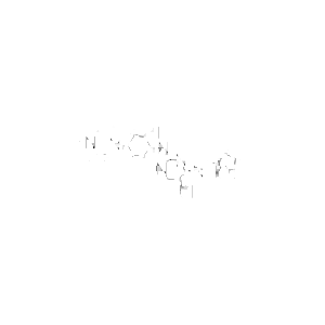 CN1CCN(c2ccc(Nc3ncc(Cl)c(NCc4ccco4)n3)cc2)CC1